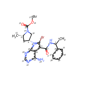 CC(NC(=O)c1c(Br)n([C@@H]2C[C@H](C)N(C(=O)OC(C)(C)C)C2)c2ncnc(N)c12)c1ccccc1